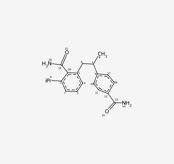 CC(C)c1cccc(CC(C)c2ccc(C(N)=O)cc2)c1C(N)=O